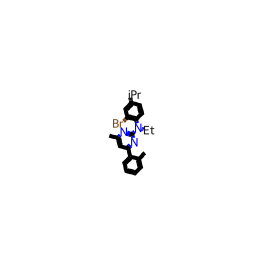 CCN(c1nc(C)cc(-c2ccccc2C)n1)c1ccc(C(C)C)cc1Br